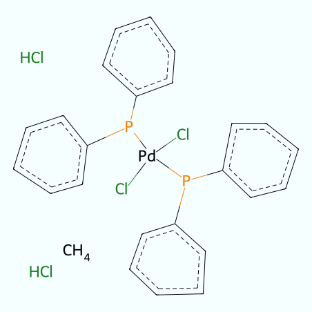 C.Cl.Cl.[Cl][Pd]([Cl])([P](c1ccccc1)c1ccccc1)[P](c1ccccc1)c1ccccc1